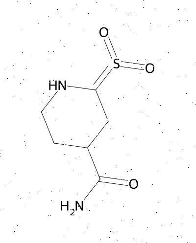 NC(=O)C1CCNC(=S(=O)=O)C1